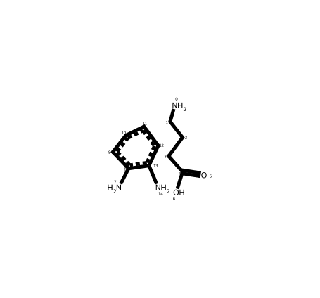 NCCCC(=O)O.Nc1ccccc1N